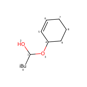 CCC(C)C(O)OC1C=CCCC1